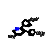 CCCc1cnc(-c2ccc(OC)cc2)c(-c2ccc(C(=O)O)cc2)c1